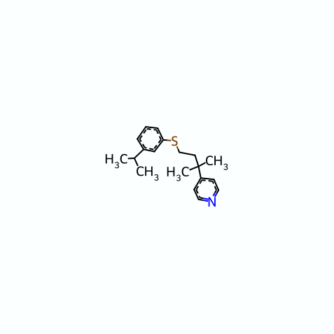 CC(C)c1cccc(SCCC(C)(C)c2ccncc2)c1